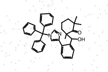 CC1(C)CCCC(C)(C(O)c2ccccc2-c2cn(C(c3ccccc3)(c3ccccc3)c3ccccc3)cn2)C1=O